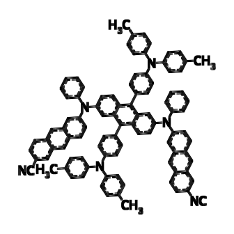 [C-]#[N+]c1ccc2cc3cc(N(c4ccccc4)c4ccc5c(-c6ccc(N(c7ccc(C)cc7)c7ccc(C)cc7)cc6)c6cc(N(c7ccccc7)c7ccc8cc9cc(C#N)ccc9cc8c7)ccc6c(-c6ccc(N(c7ccc(C)cc7)c7ccc(C)cc7)cc6)c5c4)ccc3cc2c1